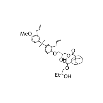 C=CCc1cc(C(C)(C)c2ccc(OCC(O)COC(=O)C34CC5CC(CC(C(=O)OCC(O)CC)(C5)C3)C4)c(CC=C)c2)ccc1OC